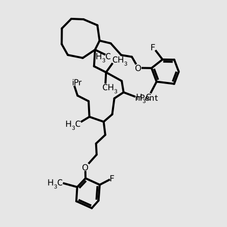 CCCCCC(CCC(CCCOc1c(C)cccc1F)C(C)CCC(C)C)CC(C)(C)CC1(C)CCCCCCCC1CCCOc1c(C)cccc1F